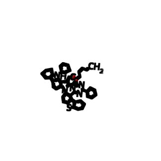 C=C/C=C\C=C(/C)c1nc(-c2ccccc2)nc(-c2c(-n3c4ccccc4c4c3ccc3c5ccccc5n(-c5ccccc5)c34)ccc3sc4ccccc4c23)n1